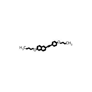 CCCCCOc1ccc2cc(C#Cc3ccc(OCCCC)cc3)ccc2c1